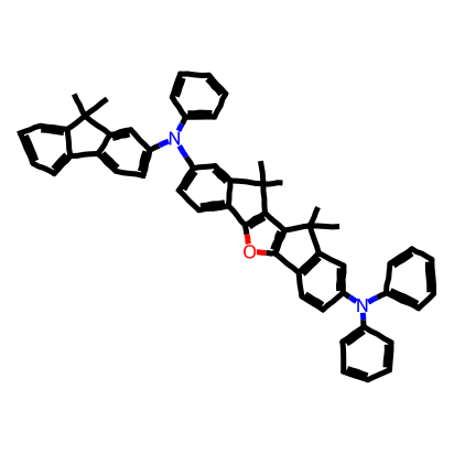 CC1(C)c2ccccc2-c2ccc(N(c3ccccc3)c3ccc4c(c3)C(C)(C)c3c-4oc4c3C(C)(C)c3cc(N(c5ccccc5)c5ccccc5)ccc3-4)cc21